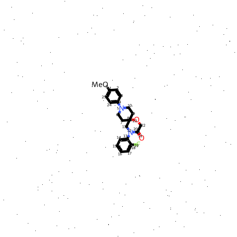 COc1ccc(N2CCC3(CC2)CN(c2ccccc2F)C(=O)CO3)cc1